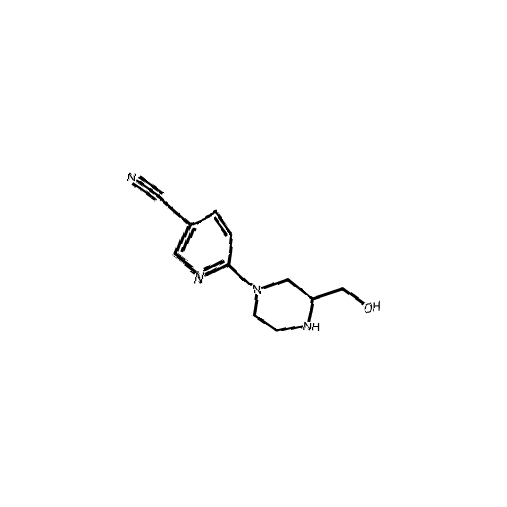 N#Cc1ccc(N2CCNC(CO)C2)nc1